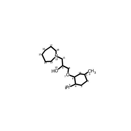 CC1CCC(C(C)C)C(OCC(O)CN2CCCCCC2)C1